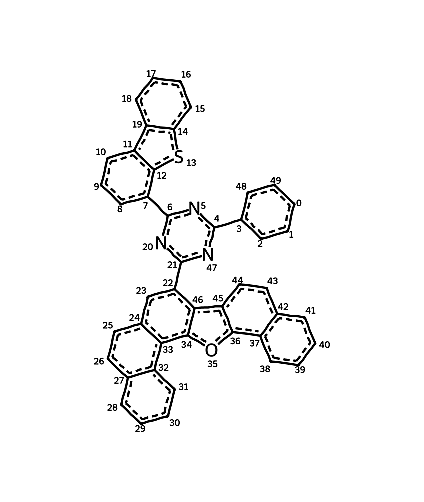 c1ccc(-c2nc(-c3cccc4c3sc3ccccc34)nc(-c3cc4ccc5ccccc5c4c4oc5c6ccccc6ccc5c34)n2)cc1